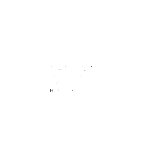 CC1(C)CC(O)C(N)c2cc(F)c(F)cc21